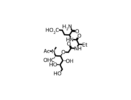 CCC(NC(=O)CO[C@@H]([C@H](O)[C@H](O)CO)[C@H](C=O)N(C)C(C)=O)C(=O)NC(CCC(=O)O)C(N)=O